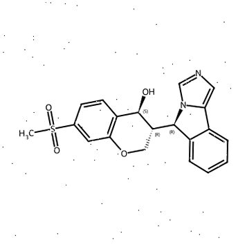 CS(=O)(=O)c1ccc2c(c1)OC[C@@H]([C@@H]1c3ccccc3-c3cncn31)[C@@H]2O